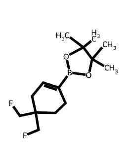 CC1(C)OB(C2=CCC(CF)(CF)CC2)OC1(C)C